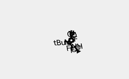 CC(C)(C)Cn1cc(C(NS(=O)(=O)C2CC2)C(F)F)c2cc(F)c(B3OC(C)(C)C(C)(C)O3)cc21